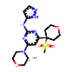 C[C@@H]1COCCN1c1cc(C2(S(C)(=O)=O)CCOCC2)nc(Nc2ccn[nH]2)n1